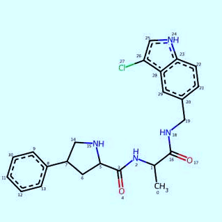 CC(NC(=O)C1CC(c2ccccc2)CN1)C(=O)NCc1ccc2[nH]cc(Cl)c2c1